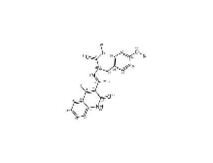 CCC(=O)N1N=C(c2c(C)c3ccccc3[nH]c2=O)CC1c1ccc(OC)cc1